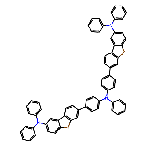 c1ccc(N(c2ccc(-c3ccc4c(c3)sc3ccc(N(c5ccccc5)c5ccccc5)cc34)cc2)c2ccc(-c3ccc4c(c3)sc3ccc(N(c5ccccc5)c5ccccc5)cc34)cc2)cc1